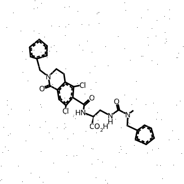 CN(Cc1ccccc1)C(=O)NC[C@H](NC(=O)c1c(Cl)cc2c(c1Cl)CCN(Cc1ccccc1)C2=O)C(=O)O